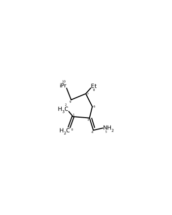 C=C(C)/C(=C/N)CC(CC)CC(C)C